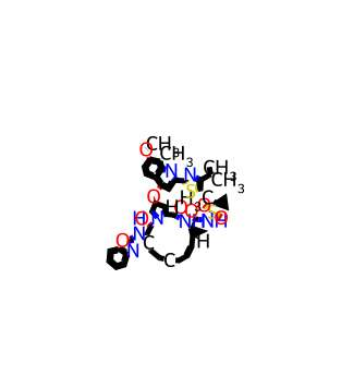 COc1ccc2c(O[C@@H]3C[C@H]4C(=O)N[C@]5(C(=O)NS(=O)(=O)C6(C)CC6)C[C@H]5/C=C\CCCCC[C@H](Nc5nc6ccccc6o5)C(=O)N4C3)cc(-c3nc(C(C)C)cs3)nc2c1C